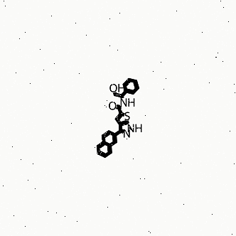 O=C(NC(CO)c1ccccc1)c1cc2c(-c3ccc4ccccc4c3)n[nH]c2s1